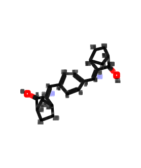 O=C1/C(=C/c2ccc(/C=C3/C(=O)C4CCC3C4)cc2)C2CCC1C2